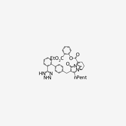 CCCCCc1c(Cc2ccc(-c3ccccc3-c3nnn[nH]3)cc2)c(=O)n2n1C1CCC2(C(=O)Oc2ccccc2C(=O)OCC)CC1